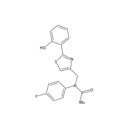 CC(C)(C)C(=O)N(Cc1csc(-c2ccccc2O)n1)c1ccc(F)cc1